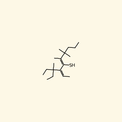 C/C=C(\C(S)=C(/C)C(C)(C)CCC)C(C)(CC)CC